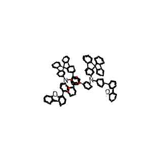 c1ccc(-c2ccccc2N(c2ccc(-c3cccc4c3oc3ccccc34)cc2)c2ccc3c(c2)C2(c4ccccc4-c4ccc(-c5cccc(-c6cccc(N(c7ccc(-c8cccc9c8oc8ccccc89)cc7)c7ccc8c(c7)C7(c9ccccc9-c9ccccc97)c7ccccc7-8)c6)c5)cc42)c2ccccc2-3)cc1